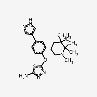 CN1CCCC(C)(C)C1(C)C.Nc1nnc(Oc2ccc(-c3cn[nH]c3)cc2)s1